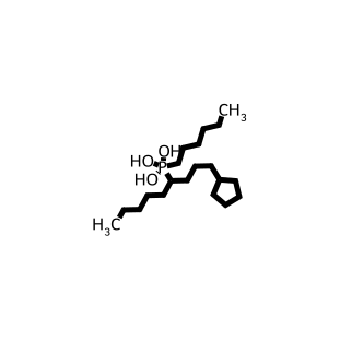 CCCCCCP(O)(O)(O)C(CCCCC)CCCC1CCCC1